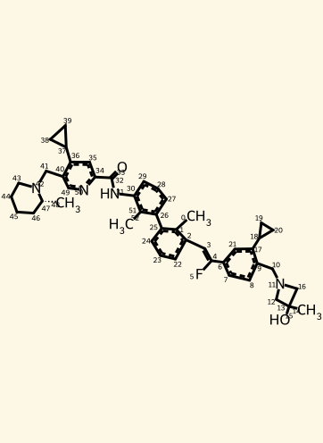 Cc1c(/C=C(\F)c2ccc(CN3CC(C)(O)C3)c(C3CC3)c2)cccc1-c1cccc(NC(=O)c2cc(C3CC3)c(CN3CCCC[C@H]3C)cn2)c1C